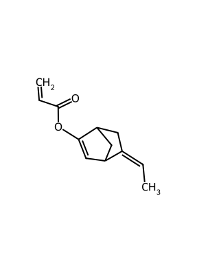 C=CC(=O)OC1=CC2CC1CC2=CC